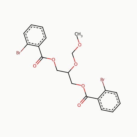 COCOC(COC(=O)c1ccccc1Br)COC(=O)c1ccccc1Br